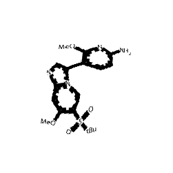 COc1cc2ncc(-c3ccc(N)nc3OC)n2cc1S(=O)(=O)C(C)(C)C